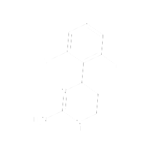 NC1=NC(c2c(Cl)cccc2Cl)CCN1